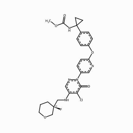 COC(=O)NC1(c2ccc(Oc3ccc(-n4ncc(NC[C@@]5(F)CCCOC5)c(Cl)c4=O)cn3)cc2)CC1